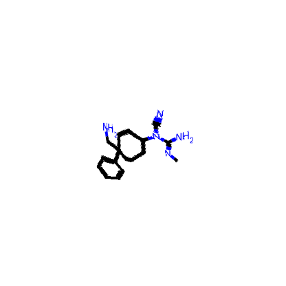 CN=C(N)N(C#N)C1CCC(CN)(c2ccccc2)CC1